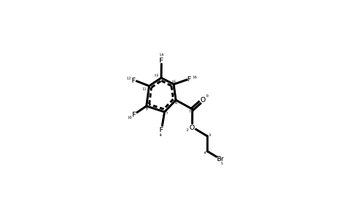 O=C(OCCBr)c1c(F)c(F)c(F)c(F)c1F